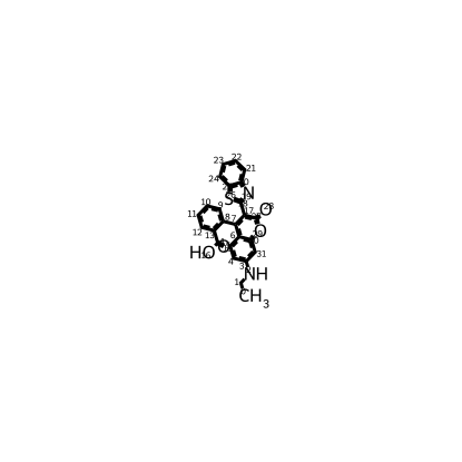 CCNc1ccc2c(-c3ccccc3C(=O)O)c(-c3nc4ccccc4s3)c(=O)oc2c1